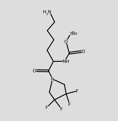 CC(C)(C)OC(=O)NC(CCCCN)C(=O)N1CC(F)(F)C(F)(F)C1